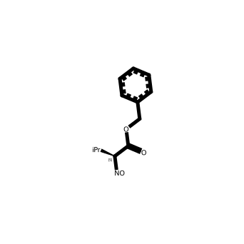 CC(C)[C@H](N=O)C(=O)OCc1ccccc1